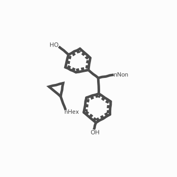 CCCCCCC1CC1.CCCCCCCCCC(c1ccc(O)cc1)c1ccc(O)cc1